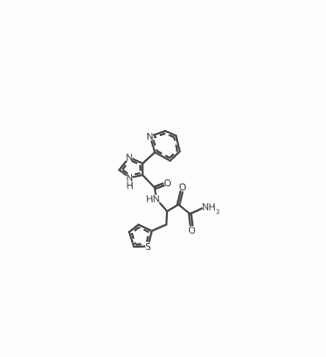 NC(=O)C(=O)C(Cc1cccs1)NC(=O)c1[nH]cnc1-c1ccccn1